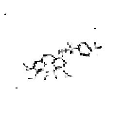 COc1cc(/C=C\c2cc(OC)c(OC)c(OC)c2)c(NS(=O)(=O)c2ccc(C(C)(C)C)cc2)cc1OC